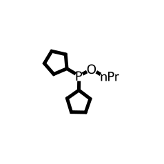 CCCOP(C1CCCC1)C1CCCC1